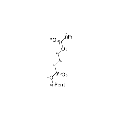 CCCCCOC(=O)CCCOC(=O)CCC